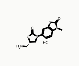 Cl.Cn1c(=O)sc2cc(N3C[C@H](CN)OC3=O)ccc21